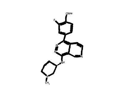 COc1ccc(-c2nnc(N[C@@H]3CCCN(C)C3)c3cnccc23)cc1F